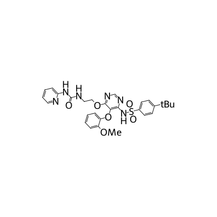 COc1ccccc1Oc1c(NS(=O)(=O)c2ccc(C(C)(C)C)cc2)ncnc1OCCNC(=O)Nc1ccccn1